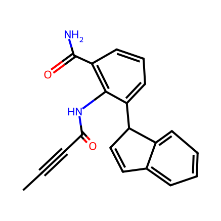 CC#CC(=O)Nc1c(C(N)=O)cccc1C1C=Cc2ccccc21